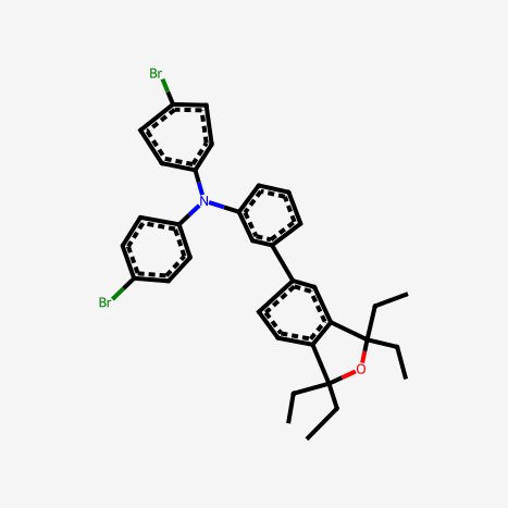 CCC1(CC)OC(CC)(CC)c2cc(-c3cccc(N(c4ccc(Br)cc4)c4ccc(Br)cc4)c3)ccc21